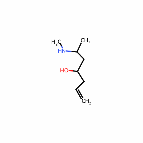 C=CCC(O)CC(C)NC